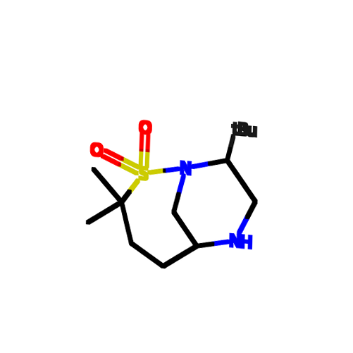 CC(C)(C)C1CNC2CCC(C)(C)S(=O)(=O)N1C2